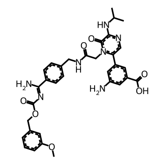 COc1cccc(COC(=O)/N=C(\N)c2ccc(CNC(=O)Cn3c(-c4cc(N)cc(C(=O)O)c4)cnc(NC(C)C)c3=O)cc2)c1